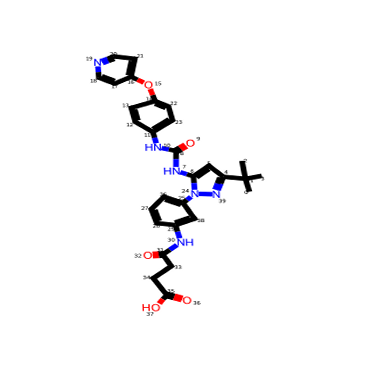 CC(C)(C)c1cc(NC(=O)Nc2ccc(Oc3ccncc3)cc2)n(-c2cccc(NC(=O)CCC(=O)O)c2)n1